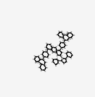 c1ccc(-c2ccc(-c3ccccc3)n2-c2cc(-c3ccc(-c4cc5ccccc5c5ccccc45)cc3)c3cc4cccc(-c5ccc(-c6cc7ccccc7c7ccccc67)cc5)c4cc3c2)cc1